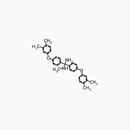 CNC(N)(c1ccc(Oc2ccc(C)c(C)c2)cc1)c1ccc(Oc2ccc(C)c(C)c2)cc1